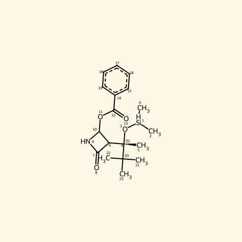 C[SiH](C)O[C@@](C)(C1C(=O)NC1OC(=O)c1ccccc1)C(C)(C)C